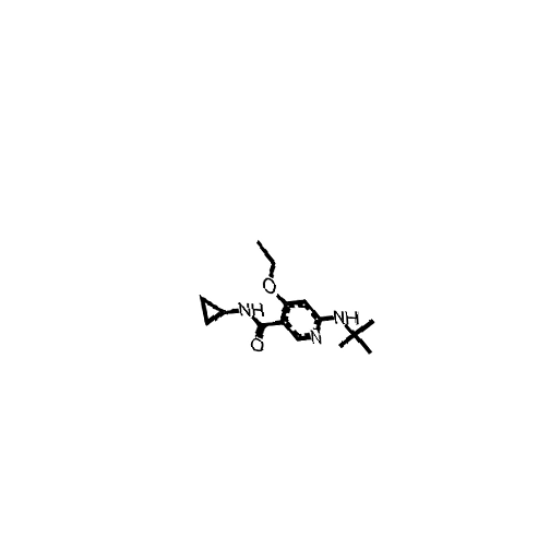 CCOc1cc(NC(C)(C)C)ncc1C(=O)NC1CC1